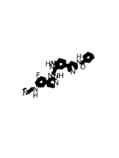 CN(C)CCNc1cc(F)cc(-c2ccnc3[nH]c(-c4n[nH]c5ccc(-c6cncc(NC(=O)c7ccccc7)c6)cc45)nc23)c1